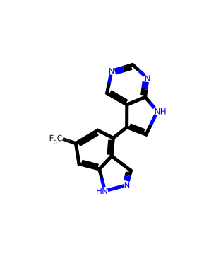 FC(F)(F)c1cc(-c2c[nH]c3ncncc23)c2cn[nH]c2c1